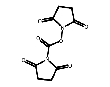 O=C1CCC(=O)N1OC(=O)N1C(=O)CCC1=O